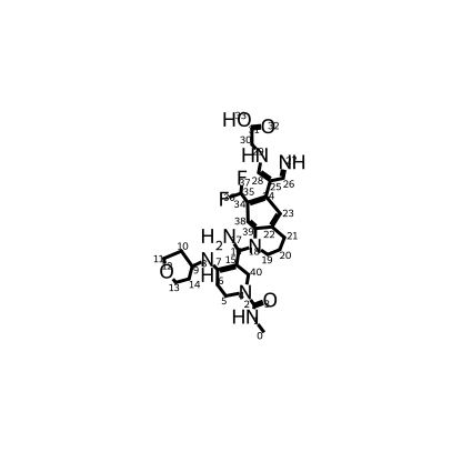 CNC(=O)N1CCC(NC2CCOCC2)=C(C(N)N2CCCc3cc(/C(C=N)=C/NCC(=O)O)c(C(F)F)cc32)C1